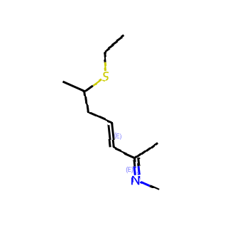 CCSC(C)C/C=C/C(C)=N/C